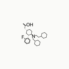 C=C(O)C[C@@H]1CC[C@@H](N(CCC2CCCCC2)CC2CCCCC2)[C@H](c2ccccc2F)C1